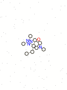 c1ccc(-c2cccc(-c3ccc(-c4cccc5oc6ccc7c(c8ccccc8n7-c7ccccc7)c6c45)c(-c4nc(-c5ccccc5)nc(-c5ccccc5)n4)c3)c2)cc1